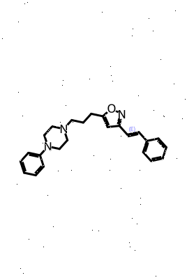 C(=C\c1cc(CCCN2CCN(c3ccccc3)CC2)on1)/c1ccccc1